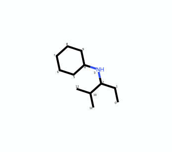 CCC(NC1CCCCC1)C(C)C